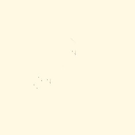 c1ccc2c(NSc3ccc(-n4nnc5ccccc54)s3)cccc2c1